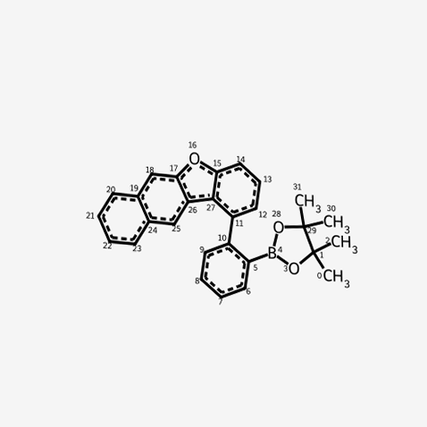 CC1(C)OB(c2ccccc2-c2cccc3oc4cc5ccccc5cc4c23)OC1(C)C